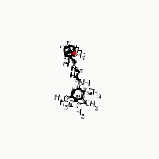 CC1C[C@@H](NCCNC[C@@H]2CCC3CC2C3(C)C)[C@H](C)[C@@H](C)C1(C)C